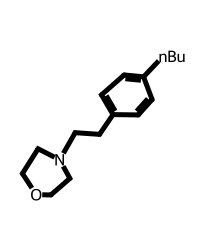 CCCCc1ccc(CCN2CCOCC2)cc1